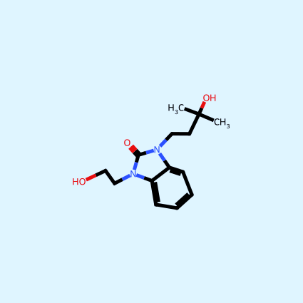 CC(C)(O)CCn1c(=O)n(CCO)c2ccccc21